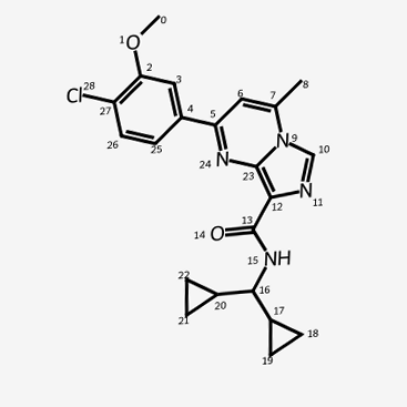 COc1cc(-c2cc(C)n3cnc(C(=O)NC(C4CC4)C4CC4)c3n2)ccc1Cl